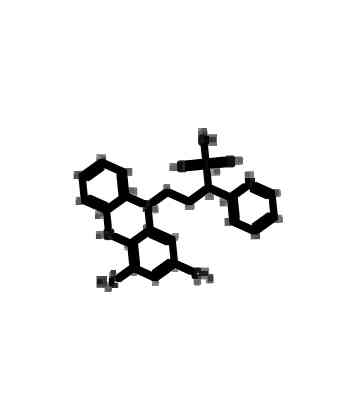 Cc1cc(C)c2c(c1)N(CCC(c1ccccn1)S(=O)(=O)O)c1ccccc1O2